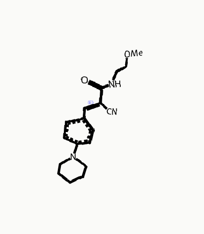 COCCNC(=O)/C(C#N)=C/c1ccc(N2CCCCC2)cc1